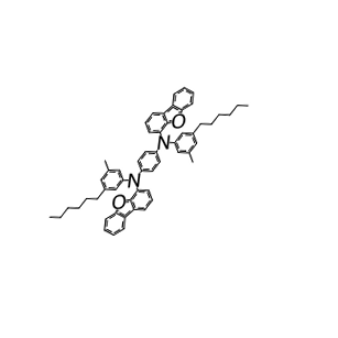 CCCCCCc1cc(C)cc(N(c2ccc(N(c3cc(C)cc(CCCCCC)c3)c3cccc4c3oc3ccccc34)cc2)c2cccc3c2oc2ccccc23)c1